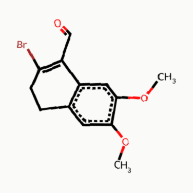 COc1cc2c(cc1OC)C(C=O)=C(Br)CC2